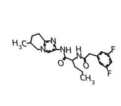 CCCC(NC(=O)Cc1cc(F)cc(F)c1)C(=O)Nc1cn2c(n1)CCC(C)C2